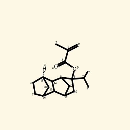 C=C(C)C(=O)OC1(C(C)C)CC2CC1C1C2C2CC[C@@H]1C2